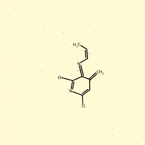 C=C1C=C(Cl)N=C(Cl)/C1=N/C=C\C